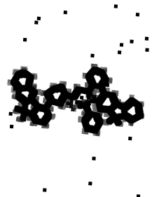 CC1(C)c2ccccc2-c2cc(-c3ccccc3C(/C=C/c3cccc(-c4cccc5c4-c4cc6ccccc6cc4C5(C)C)c3)NC(N)c3ccccc3)ccc21